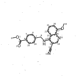 COC(=O)c1ccc(CNc2c(C#N)cnc3c(OC)cccc23)cc1